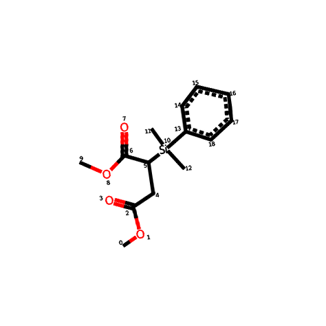 COC(=O)CC(C(=O)OC)[Si](C)(C)c1ccccc1